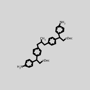 CCCCCCCCCCCC(c1ccc(N)cc1)c1ccc(CC(C)Cc2ccc(C(CCCCCCCCCCC)c3ccc(N)cc3)cc2)cc1